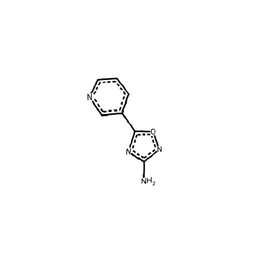 Nc1noc(-c2cccnc2)n1